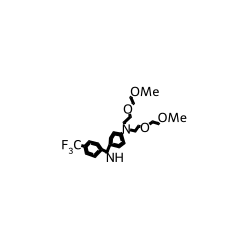 COCCOCCN(CCOCCOC)c1ccc(C(=N)c2ccc(C(F)(F)F)cc2)cc1